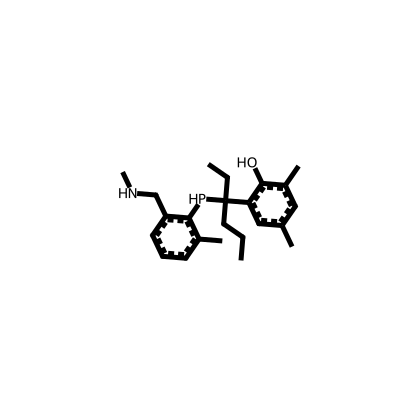 CCCC(CC)(Pc1c(C)cccc1CNC)c1cc(C)cc(C)c1O